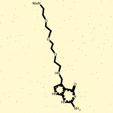 CNCCOCCOCCOCCNCc1c[nH]c2[nH]c(N)nc(=O)c12